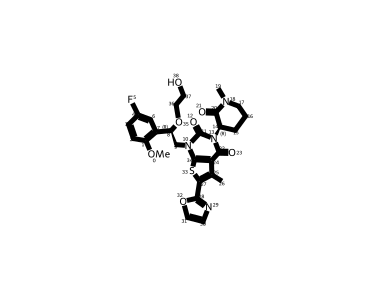 COc1ccc(F)cc1[C@H](Cn1c(=O)n([C@@H]2CCCN(C)C2=O)c(=O)c2c(C)c(-c3ncco3)sc21)OCCO